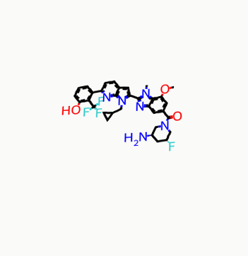 COc1cc(C(=O)N2C[C@H](N)C[C@@H](F)C2)cc2nc(-c3cc4ccc(-c5cccc(O)c5C(F)(F)F)nc4n3CC3CC3)n(C)c12